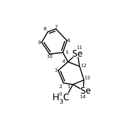 CC12C=CC3(c4ccccc4)[Se]C3C1[Se]2